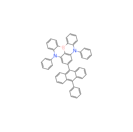 c1ccc(-c2c3ccccc3c(-c3cc4c5c(c3)N(c3ccccc3)c3ccccc3B5c3ccccc3N4c3ccccc3)c3ccccc23)cc1